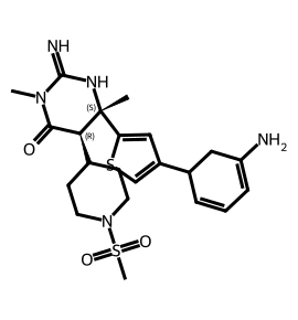 CN1C(=N)N[C@](C)(c2cc(C3C=CC=C(N)C3)cs2)[C@@H](C2CCN(S(C)(=O)=O)CC2)C1=O